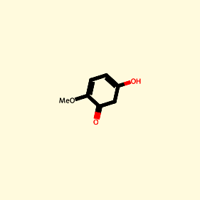 COC1=CC=C(O)CC1=O